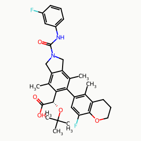 Cc1c(-c2c(C)c3c(c(C)c2[C@H](OC(C)(C)C)C(=O)O)CN(C(=O)Nc2cccc(F)c2)C3)cc(F)c2c1CCCO2